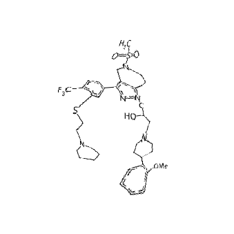 COc1ccccc1C1CCN(CC(O)Cn2nc(-c3ccc(C(F)(F)F)c(SCCN4CCCCC4)c3)c3c2CCN(S(C)(=O)=O)C3)CC1